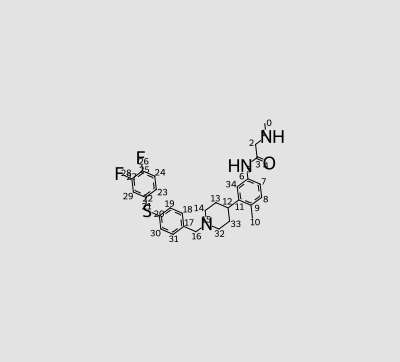 CNCC(=O)Nc1ccc(C)c(C2CCN(Cc3ccc(Sc4ccc(F)c(F)c4)cc3)CC2)c1